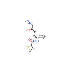 [N-]=[N+]=CC(=O)CCC(NC(=O)C1CCS1)C(=O)O